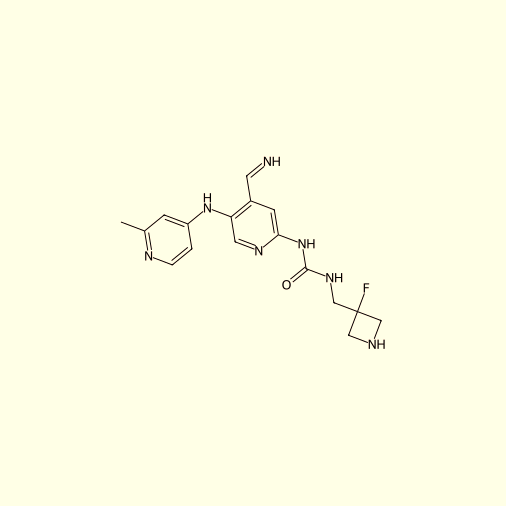 Cc1cc(Nc2cnc(NC(=O)NCC3(F)CNC3)cc2C=N)ccn1